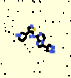 c1cn2c(-c3cn[nH]c3)cnc2c(Nc2sncc2C2CCCNC2)n1